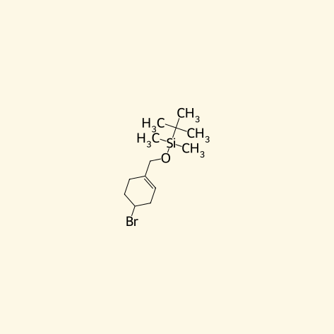 CC(C)(C)[Si](C)(C)OCC1=CCC(Br)CC1